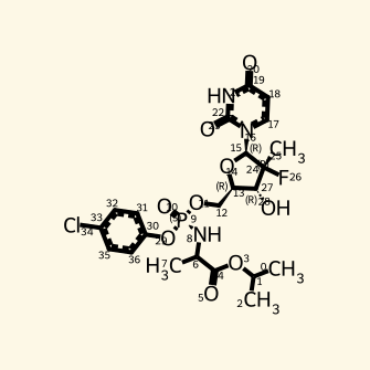 CC(C)OC(=O)C(C)N[P@](=O)(OC[C@H]1O[C@@H](n2ccc(=O)[nH]c2=O)[C@](C)(F)[C@@H]1O)Oc1ccc(Cl)cc1